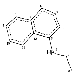 CCPc1cccc2ccccc12